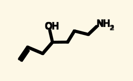 C=CCC(O)CCCN